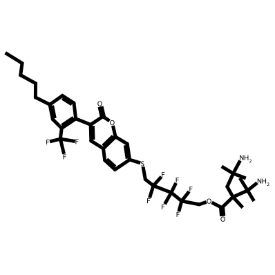 CCCCCc1ccc(-c2cc3ccc(SCC(F)(F)C(F)(F)C(F)(F)COC(=O)C(C)(CC(C)(C)N)C(C)(C)N)cc3oc2=O)c(C(F)(F)F)c1